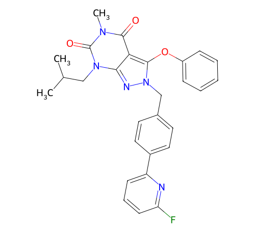 CC(C)Cn1c(=O)n(C)c(=O)c2c(Oc3ccccc3)n(Cc3ccc(-c4cccc(F)n4)cc3)nc21